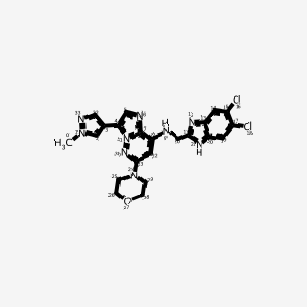 Cn1cc(-c2cnc3c(NCc4nc5cc(Cl)c(Cl)cc5[nH]4)cc(N4CCOCC4)nn23)cn1